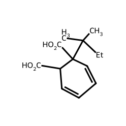 CCC(C)(C)C1(C(=O)O)C=CC=CC1C(=O)O